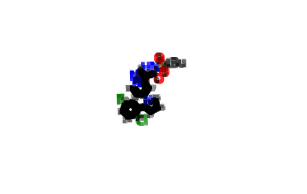 CC(C)(C)S(=O)(=O)NC(=O)c1cnn2ccc(N3CCCC3c3cc(F)ccc3Cl)cc12